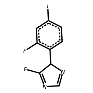 FC1=NC=NC1c1ccc(I)cc1F